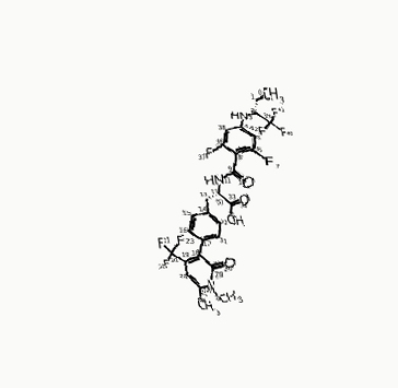 CC[C@@H](Nc1cc(F)c(C(=O)N[C@@H](Cc2ccc(-c3c(C(F)(F)F)cc(C)n(C)c3=O)cc2)C(=O)O)c(F)c1)C(F)(F)F